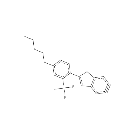 CCCCCc1ccc(C2=Cc3cc#ccc3C2)c(C(F)(F)F)c1